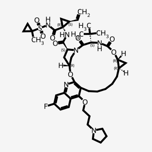 C=C[C@@H]1C[C@]1(NC(=O)[C@@H]1C[C@@H]2CN1C(=O)[C@H](C(C)(C)C)NC(=O)O[C@@H]1C[C@H]1CCCCCc1c(nc3cc(F)ccc3c1OCCCN1CCCC1)O2)C(=O)NS(=O)(=O)C1(C)CC1